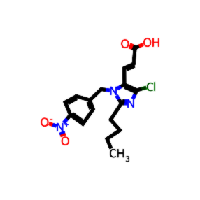 CCCCc1nc(Cl)c(C=CC(=O)O)n1Cc1ccc([N+](=O)[O-])cc1